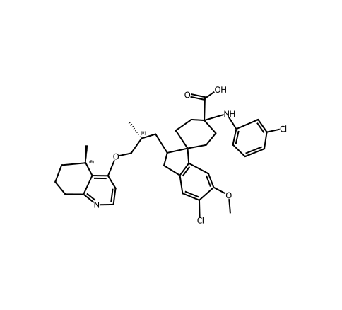 COc1cc2c(cc1Cl)CC(C[C@@H](C)COc1ccnc3c1[C@H](C)CCC3)C21CCC(Nc2cccc(Cl)c2)(C(=O)O)CC1